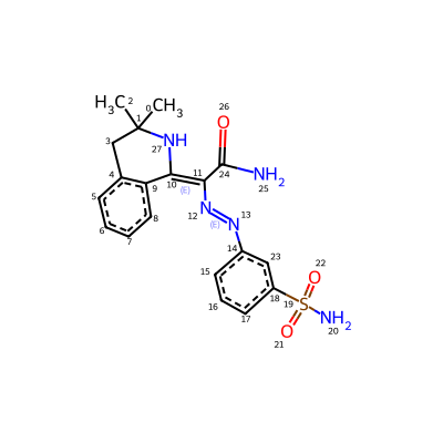 CC1(C)Cc2ccccc2/C(=C(\N=N\c2cccc(S(N)(=O)=O)c2)C(N)=O)N1